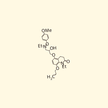 C=CCOc1ccc(OCC(O)CN(CC)Oc2ccc(OC)cc2)c2c1N(CC)C(=O)CC2